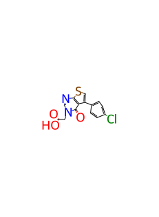 O=C(O)Cn1cnc2scc(-c3ccc(Cl)cc3)c2c1=O